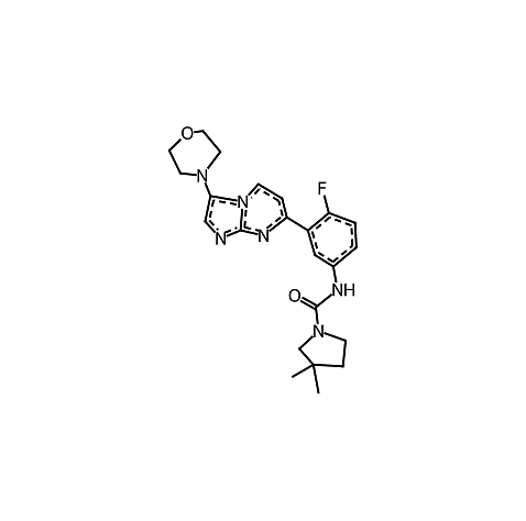 CC1(C)CCN(C(=O)Nc2ccc(F)c(-c3ccn4c(N5CCOCC5)cnc4n3)c2)C1